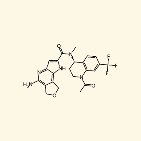 CC(=O)N1CC[C@@H](N(C)C(=O)c2cc3nc(N)c4c(c3[nH]2)COC4)c2ccc(C(F)(F)F)cc21